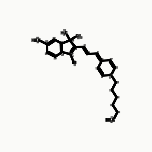 CC[N+]1=C(/C=C/C=C2C=CN(CCCCCC(=O)O)C=C2)C(C)(C)c2cc(S(=O)(=O)O)ccc21